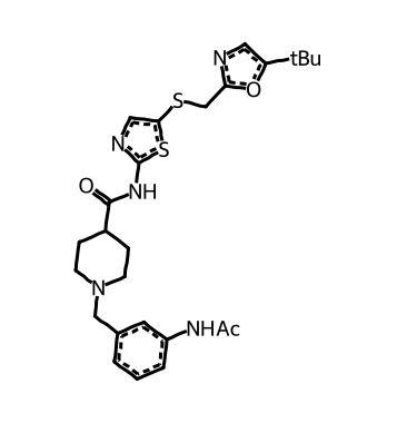 CC(=O)Nc1cccc(CN2CCC(C(=O)Nc3ncc(SCc4ncc(C(C)(C)C)o4)s3)CC2)c1